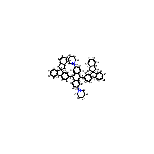 C1=CC2CC3(CC2C=C1)c1ccccc1-c1ccc(-c2c4ccc(N5CCCCC5)cc4c(-c4ccc5c(c4)C4(CC6C=CC=CC6C4)c4ccccc4-5)c4ccc(N5CCCCC5)cc24)cc13